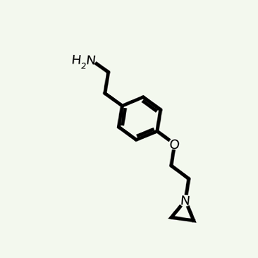 NCCc1ccc(OCCN2CC2)cc1